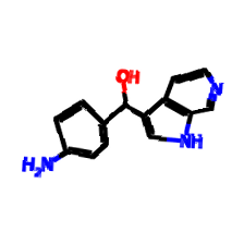 Nc1ccc(C(O)c2c[nH]c3cnccc23)cc1